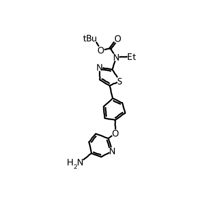 CCN(C(=O)OC(C)(C)C)c1ncc(-c2ccc(Oc3ccc(N)cn3)cc2)s1